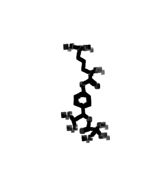 CC(C)C(OC(=O)C(C)(C)C)c1ccc(OC(=O)N(C)CCCN(C)C)cc1